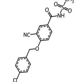 CS(=O)(=O)NC(=O)c1ccc(OCc2ccc(Cl)cc2)c(C#N)c1